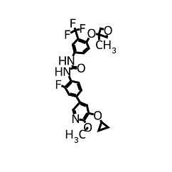 COc1ncc(-c2ccc(NC(=O)Nc3ccc(OC4(C)COC4)c(C(F)(F)F)c3)c(F)c2)cc1OC1CC1